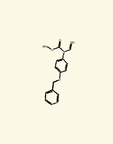 CC(C)(C)OC(=O)N(C=N)c1ccc(OCc2ccccc2)cc1